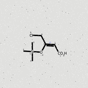 C[Si](C)(C)O/C(=C\C(=O)O)CCl